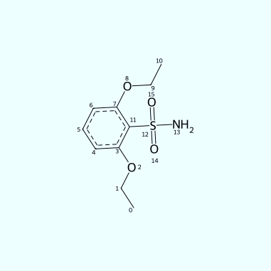 CCOc1cccc(OCC)c1S(N)(=O)=O